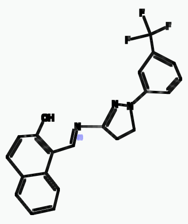 Oc1ccc2ccccc2c1/C=N/C1=NN(c2cccc(C(F)(F)F)c2)CC1